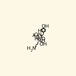 CC(C)(C)OC(=O)N[C@@H](Cc1ccc(O)cc1)C(=O)N[C@@H](CCCCN)C(=O)O